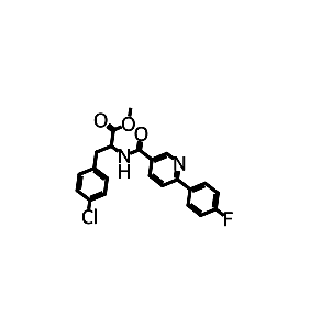 COC(=O)C(Cc1ccc(Cl)cc1)NC(=O)c1ccc(-c2ccc(F)cc2)nc1